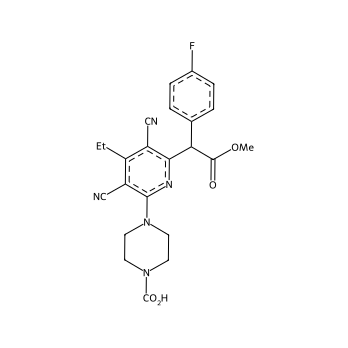 CCc1c(C#N)c(C(C(=O)OC)c2ccc(F)cc2)nc(N2CCN(C(=O)O)CC2)c1C#N